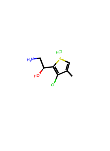 Cc1csc([C@@H](O)CN)c1Cl.Cl